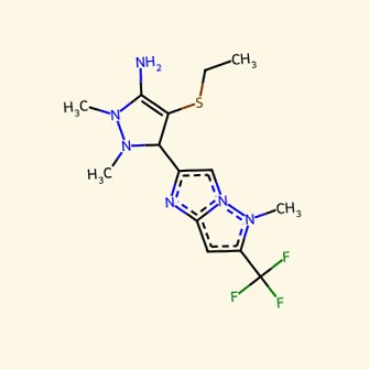 CCSC1=C(N)N(C)N(C)C1c1cn2c(cc(C(F)(F)F)n2C)n1